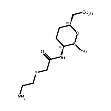 NCCSCC(=O)N[C@H]1CC[C@@H](CC(=O)O)OB1O